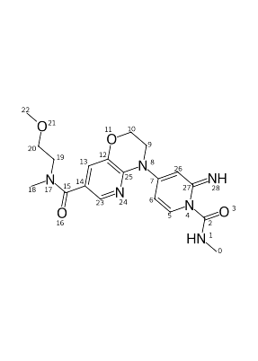 CNC(=O)n1ccc(N2CCOc3cc(C(=O)N(C)CCOC)cnc32)cc1=N